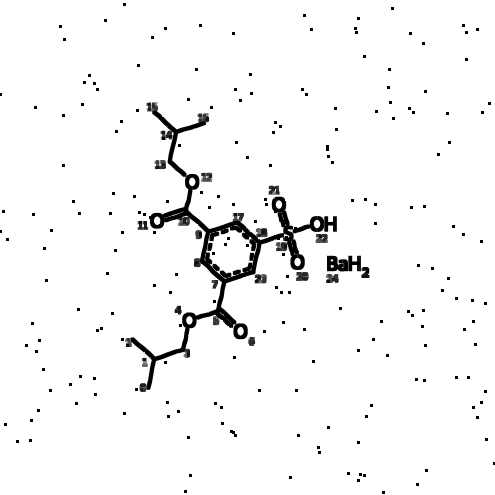 CC(C)COC(=O)c1cc(C(=O)OCC(C)C)cc(S(=O)(=O)O)c1.[BaH2]